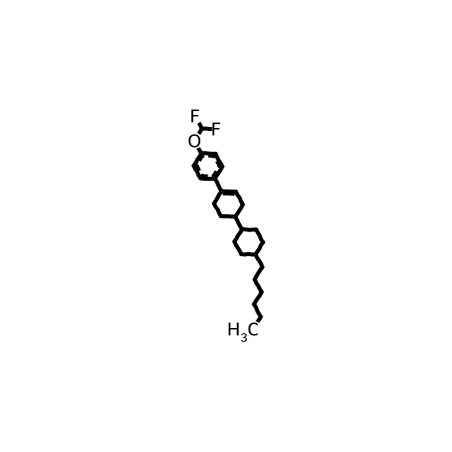 CCCCCCC1CCC(C2CC=C(c3ccc(OC(F)F)cc3)CC2)CC1